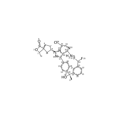 CC1OC(=O)[C@@]12CC[C@@H](c1nc(-c3ccc([C@@](C)(O)c4cccc(C(F)F)c4)cc3)c3c(N)ncc(Cl)n13)C2